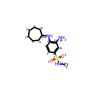 CCNS(=O)(=O)c1ccc(NC2CCCCCC2)c(N)c1